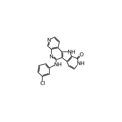 O=c1[nH]ccc2c1[nH]c1c3ccncc3nc(Nc3cccc(Cl)c3)c21